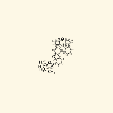 CC1(C)OB(c2cccc3c2oc2ccc4c(c23)-c2ccccc2C42c3ccccc3Oc3ccccc32)OC1(C)C